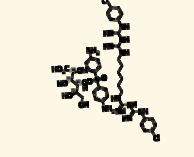 N=C(NCCCCCCNC(=N)NC(=N)Nc1ccc(Cl)cc1)NC(=N)Nc1ccc(Cl)cc1.Nc1ccc(S(=O)(=O)c2ccc(N)cc2)cc1.O=C(O)[C@H](O)[C@@H](O)[C@H](O)[C@H](O)CO